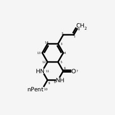 C=CCC1=CC2C(=O)NC(CCCCC)NC2C=C1